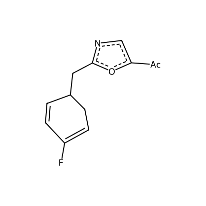 CC(=O)c1cnc(CC2C=CC(F)=CC2)o1